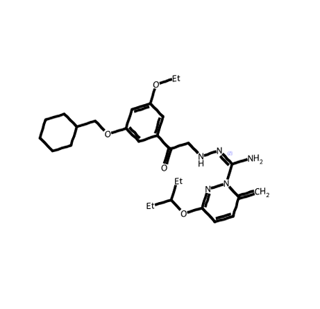 C=C1C=CC(OC(CC)CC)=NN1/C(N)=N\NCC(=O)c1cc(OCC)cc(OCC2CCCCC2)c1